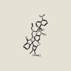 C=CCN(CC=C)CCN1C(=O)c2ccccc2C12c1cc(C)c(NCC)cc1Oc1cc(N(CC)S(=O)(=O)c3cccc4c(N(C)C)cccc34)c(C)cc12